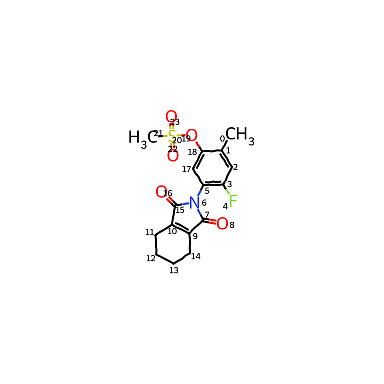 Cc1cc(F)c(N2C(=O)C3=C(CCCC3)C2=O)cc1OS(C)(=O)=O